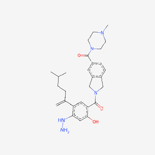 C=C(CCC(C)C)c1cc(C(=O)N2Cc3ccc(C(=O)N4CCN(C)CC4)cc3C2)c(O)cc1NN